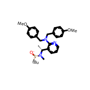 COc1ccc(CN(Cc2ccc(OC)cc2)c2ncccc2[C@@H](C)N(C)[S@@+]([O-])C(C)(C)C)cc1